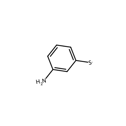 Nc1cccc([S])c1